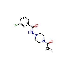 CC(=O)N1CCN(NC(=O)c2cccc(F)c2)CC1